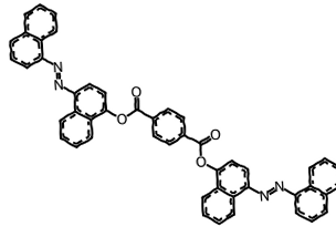 O=C(Oc1ccc(/N=N/c2cccc3ccccc23)c2ccccc12)c1ccc(C(=O)Oc2ccc(/N=N/c3cccc4ccccc34)c3ccccc23)cc1